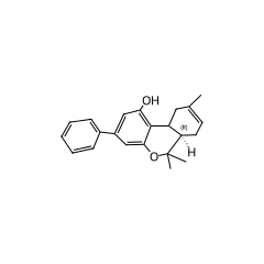 CC1=CC[C@@H]2C(C1)c1c(O)cc(-c3ccccc3)cc1OC2(C)C